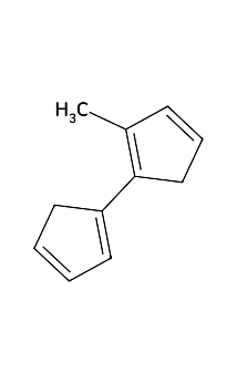 CC1=C(C2=CC=CC2)CC=C1